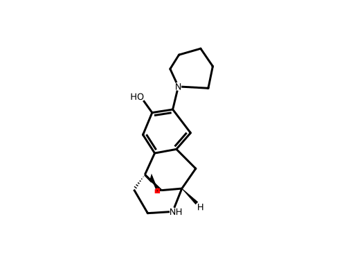 Oc1cc2c(cc1N1CCCCC1)C[C@@H]1NCC[C@]23CCCCC13